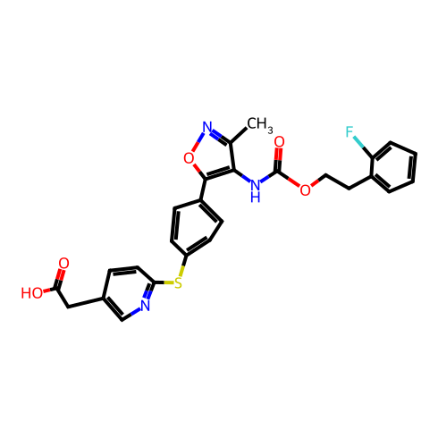 Cc1noc(-c2ccc(Sc3ccc(CC(=O)O)cn3)cc2)c1NC(=O)OCCc1ccccc1F